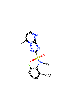 Cc1ccnc2nc(S(=O)(=O)N(c3c(F)cccc3C(=O)O)C(C)C)nn12